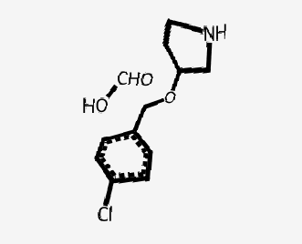 Clc1ccc(COC2CCNC2)cc1.O=CO